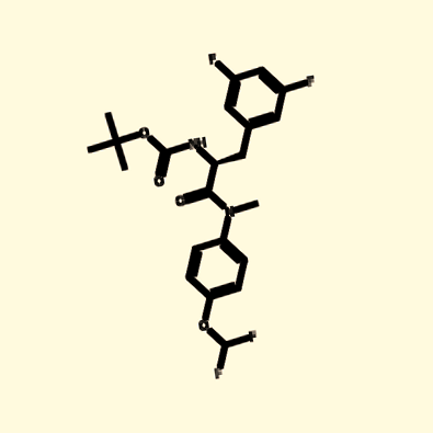 CN(C(=O)[C@H](Cc1cc(F)cc(F)c1)NC(=O)OC(C)(C)C)c1ccc(OC(F)F)cc1